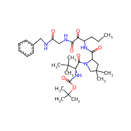 CCCC(NC(=O)C1CC(C)(C)CN1C(=O)[C@@H](NC(=O)OC(C)(C)C)C(C)(C)C)C(=O)C(=O)NCC(=O)NCc1ccccc1